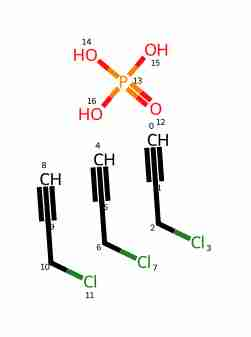 C#CCCl.C#CCCl.C#CCCl.O=P(O)(O)O